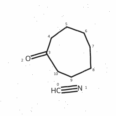 C#N.O=C1CCCCCCC1